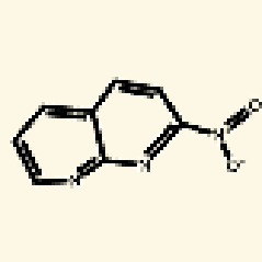 O=[N+]([O-])c1ccc2cccnc2n1